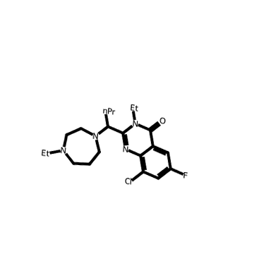 CCCC(c1nc2c(Cl)cc(F)cc2c(=O)n1CC)N1CCCN(CC)CC1